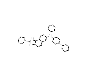 c1ccc(-c2ccc(N(c3ccccc3)c3ccc4c(ccc5oc(-c6ccccc6)nc54)c3)cc2)cc1